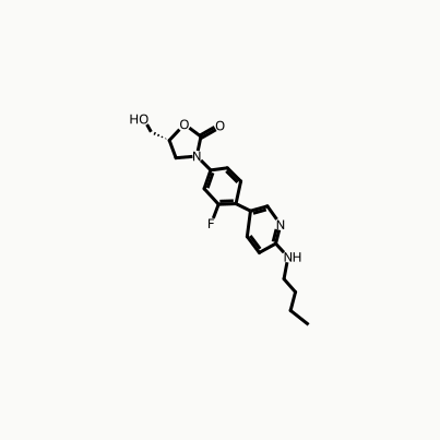 CCCCNc1ccc(-c2ccc(N3C[C@H](CO)OC3=O)cc2F)cn1